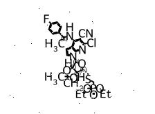 CCOP(=O)(CSC[C@H]1O[C@@H](n2ccc3c(N[C@H](C)c4ccc(F)cc4)c(C#N)c(Cl)nc32)[C@@H]2OC(C)(C)O[C@@H]21)OCC